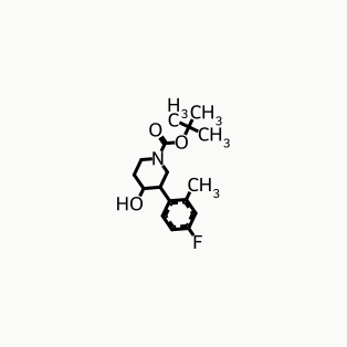 Cc1cc(F)ccc1C1CN(C(=O)OC(C)(C)C)CCC1O